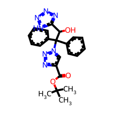 CC(C)(C)OC(=O)c1cn(C(c2ccccc2)(c2ccccc2)C(O)c2nnn[nH]2)nn1